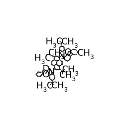 CC1C=Cc2oc3c(N(c4ccc(C(C)C)cc4)c4cc(C(C)C)c5ccc6c(N(c7ccc(C(C)C)cc7)c7cccc8c7oc7ccccc78)cc(C(C)C)c7c#cc4c5c76)cccc3c2C1